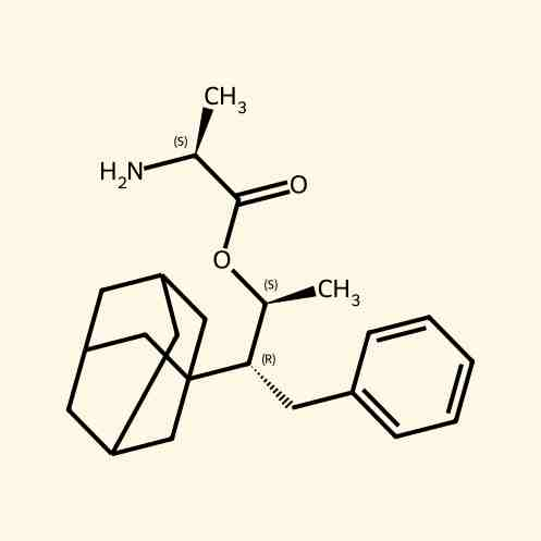 C[C@H](N)C(=O)O[C@@H](C)[C@H](Cc1ccccc1)C12CC3CC(CC(C3)C1)C2